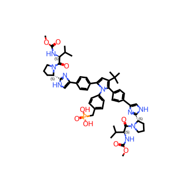 COC(=O)N[C@H](C(=O)N1CCC[C@H]1c1nc(-c2ccc(-c3cc(C(C)(C)C)c(-c4ccc(-c5c[nH]c([C@@H]6CCCN6C(=O)[C@@H](NC(=O)OC)C(C)C)n5)cc4)n3-c3ccc(CP(=O)(O)O)cc3)cc2)c[nH]1)C(C)C